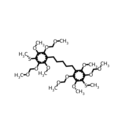 COCOc1c(CCCCCc2c(OCOC)c(OC)c(SC)c(OCOC)c2OC)c(OC)c(OCOC)c(SC)c1OC